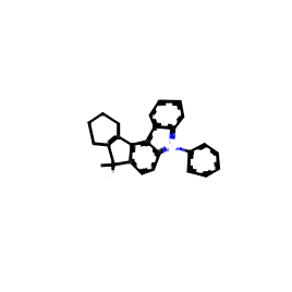 CC1(C)C2=C(CCCC2)c2c1ccc1c2c2ccccc2n1-c1ccccc1